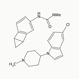 CN1CCC(n2ccc3cc(Cl)ccc32)CC1.CNC(=O)Nc1ccc2c(c1)C1CC21